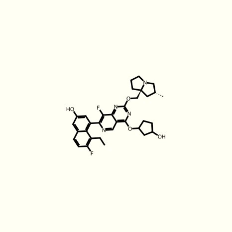 CCc1c(F)ccc2cc(O)cc(-c3ncc4c(OC5CCC(O)C5)nc(OC[C@@]56CCCN5C[C@H](C)C6)nc4c3F)c12